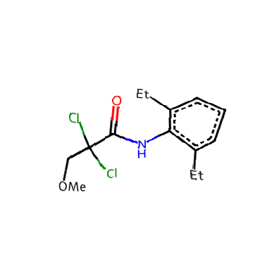 CCc1cccc(CC)c1NC(=O)C(Cl)(Cl)COC